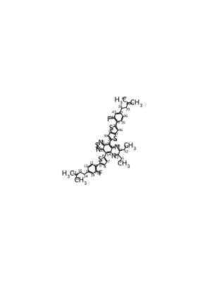 CCc1nc2c(-c3ccc(-c4ccc(CCC(C)C)cc4F)s3)c3nsnc3c(-c3cc4sc(-c5ccc(CCC(C)C)cc5F)cc4s3)c2nc1CC